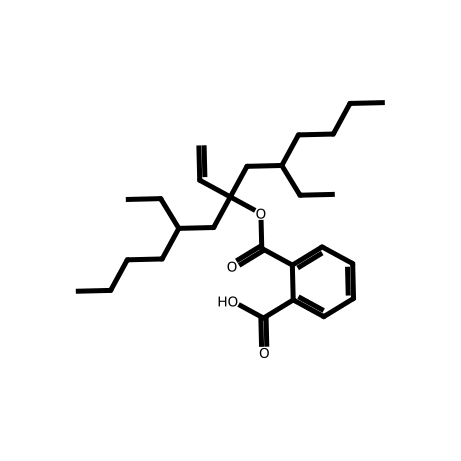 C=CC(CC(CC)CCCC)(CC(CC)CCCC)OC(=O)c1ccccc1C(=O)O